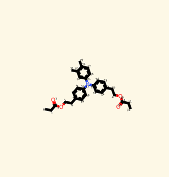 CCC(=O)OCCc1ccc(N(c2ccc(CCOC(=O)CC)cc2)c2ccc(C)c(C)c2)cc1